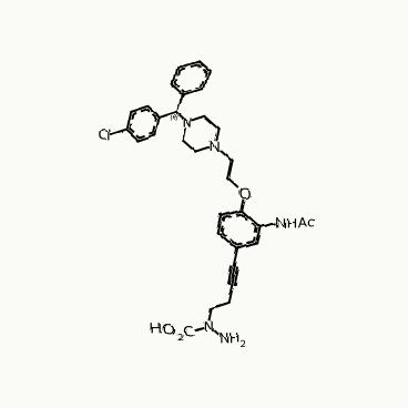 CC(=O)Nc1cc(C#CCCN(N)C(=O)O)ccc1OCCN1CCN([C@H](c2ccccc2)c2ccc(Cl)cc2)CC1